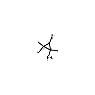 CCC1C(C)(C)C1(C)N